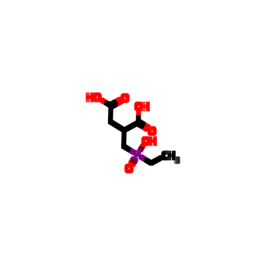 CCP(=O)(O)CC(CC(=O)O)C(=O)O